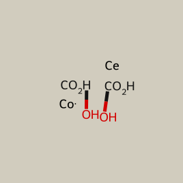 O=C(O)O.O=C(O)O.[Ce].[Co]